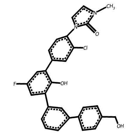 Cn1ccn(-c2ccc(-c3cc(F)cc(-c4cccc(-c5ccc(CO)cc5)c4)c3O)cc2Cl)c1=O